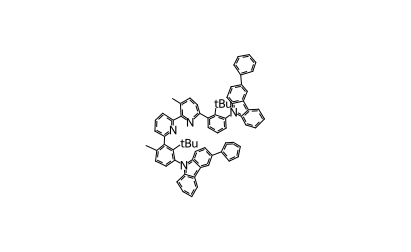 Cc1ccc(-c2cccc(-n3c4ccccc4c4cc(-c5ccccc5)ccc43)c2C(C)(C)C)nc1-c1cccc(-c2c(C)ccc(-n3c4ccccc4c4cc(-c5ccccc5)ccc43)c2C(C)(C)C)n1